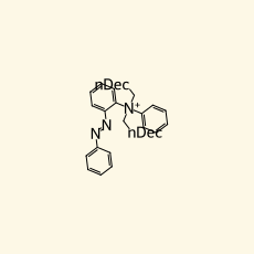 CCCCCCCCCCC[N+](CCCCCCCCCCC)(c1ccccc1)c1ccccc1N=Nc1ccccc1